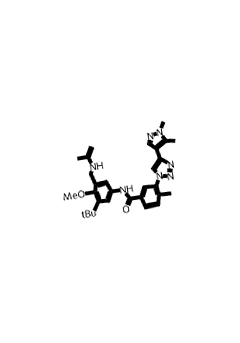 C=C(C)NCc1cc(NC(=O)c2ccc(C)c(-n3cc(-c4cnn(C)c4C)nn3)c2)cc(C(C)(C)C)c1OC